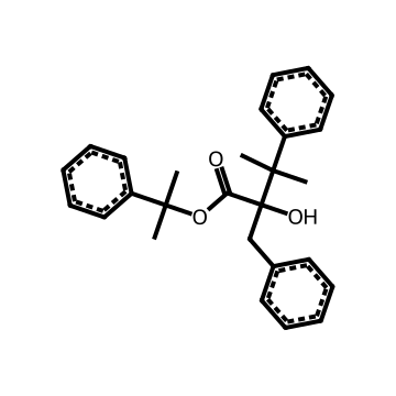 CC(C)(OC(=O)C(O)(Cc1ccccc1)C(C)(C)c1ccccc1)c1ccccc1